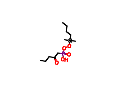 CCCC[Si](C)(C)OOP(=O)(O)CC(=O)CCC